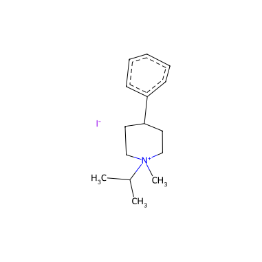 CC(C)[N+]1(C)CCC(c2ccccc2)CC1.[I-]